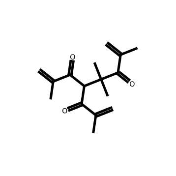 C=C(C)C(=O)[C](C(=O)C(=C)C)C(C)(C)C(=O)C(=C)C